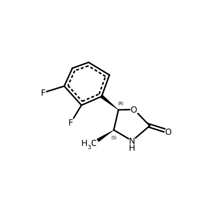 C[C@@H]1NC(=O)O[C@@H]1c1cccc(F)c1F